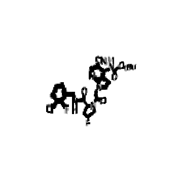 CC(C)(C)OC(=O)Nc1c(C#N)cnc2c1ccn2CC(=O)N1C[C@H](F)C[C@H]1C(=O)NCc1cccc(Cl)c1F